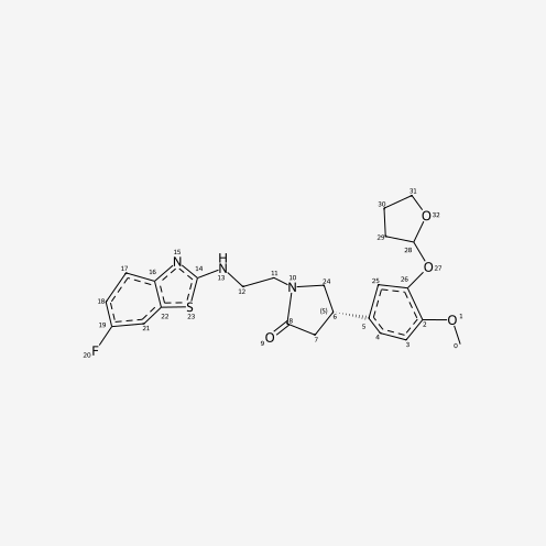 COc1ccc([C@@H]2CC(=O)N(CCNc3nc4ccc(F)cc4s3)C2)cc1OC1CCCO1